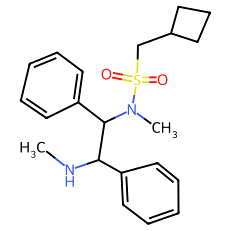 CNC(c1ccccc1)C(c1ccccc1)N(C)S(=O)(=O)CC1CCC1